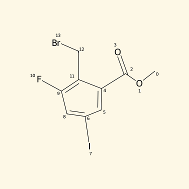 COC(=O)c1cc(I)cc(F)c1CBr